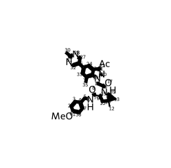 COc1ccc(CNC(=O)[C@@H]2C[C@@]3(C)C[C@H]3N2C(=O)Cn2nc(C(C)=O)c3cc(-c4cnc(C)nc4)cc(C)c32)cc1